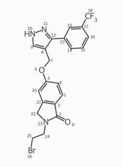 O=C1c2ccc(OCc3c[nH]nc3-c3cccc(C(F)(F)F)c3)cc2CN1CCBr